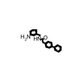 Nc1cccc(CNC(=O)Cc2ccc(-c3ccccc3)cc2)c1